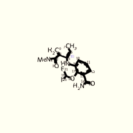 C=C(C(=O)NC)/C(=C\C)Nc1cccc(C(N)=O)c1OC(F)F